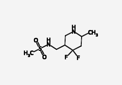 CC1CC(F)(F)C(CNS(C)(=O)=O)CN1